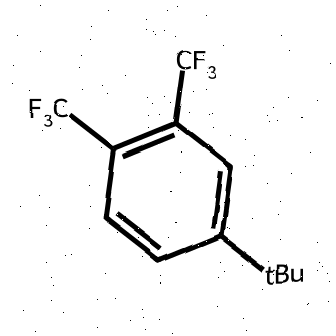 CC(C)(C)c1ccc(C(F)(F)F)c(C(F)(F)F)c1